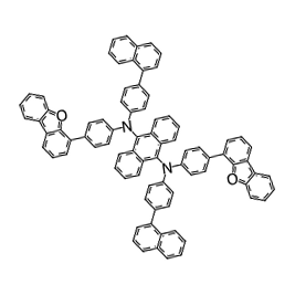 c1ccc2c(-c3ccc(N(c4ccc(-c5cccc6c5oc5ccccc56)cc4)c4c5ccccc5c(N(c5ccc(-c6cccc7ccccc67)cc5)c5ccc(-c6cccc7c6oc6ccccc67)cc5)c5ccccc45)cc3)cccc2c1